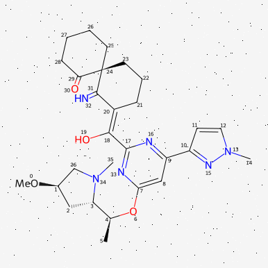 CO[C@@H]1C[C@@H]([C@H](C)Oc2cc(-c3ccn(C)n3)nc(/C(O)=C3\CCC[C@@]4(CCCCC4=O)C3=N)n2)N(C)C1